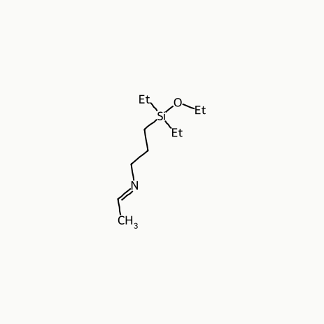 CC=NCCC[Si](CC)(CC)OCC